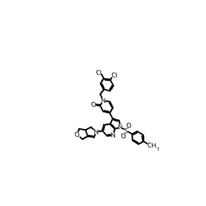 Cc1ccc(S(=O)(=O)n2cc(-c3ccn(Cc4ccc(Cl)c(Cl)c4)c(=O)c3)c3cc(N4C=C5COCC5C4)cnc32)cc1